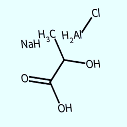 CC(O)C(=O)O.[AlH2][Cl].[NaH]